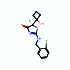 C[C@]1(C2(O)CCC2)SC(NCc2ccccc2F)=NC1=O